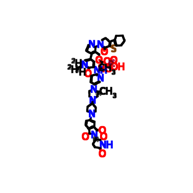 [2H]C([2H])([2H])n1cc(-c2ccnc(N3CCc4c(sc5c4CCCC5)C3=O)c2COC(C)OP(=O)(O)O)cc(Nc2ccc(N3CCN(C4CCN(c5ccc6c(c5)C(=O)N([C@H]5CCC(=O)NC5=O)C6=O)CC4)C[C@@H]3C)cn2)c1=O